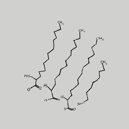 CCCCCCCCCCCCC(S)C(=O)[O-].CCCCCCCCCCCCC(S)C(=O)[O-].CCCCCCCCCCCCC(S)C(=O)[O-].CCCCCCC[CH2][Sn+3]